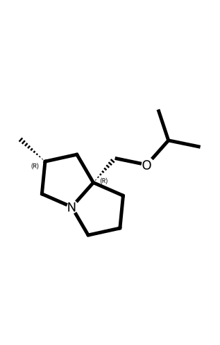 CC(C)OC[C@]12CCCN1C[C@H](C)C2